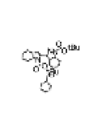 CC(C)(C)OC(=O)n1nc(-c2cc3ccccc3n2C(=O)OC(C)(C)C)c2cc(OCc3ccccc3)ccc21